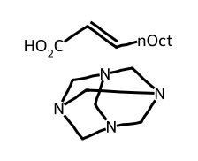 C1N2CN3CN1CN(C2)C3.CCCCCCCCC=CC(=O)O